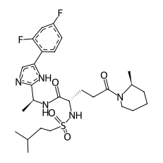 CC(C)CCS(=O)(=O)N[C@@H](CCC(=O)N1CCCC[C@@H]1C)C(=O)N[C@@H](C)c1ncc(-c2ccc(F)cc2F)[nH]1